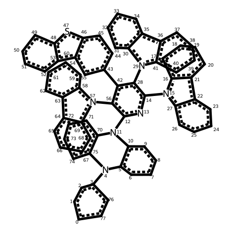 c1ccc(N2c3ccccc3N(c3nc(-n4c5ccccc5c5ccccc54)c(-n4c5ccccc5c5ccccc54)c(-c4ccc5sc6ccccc6c5c4)c3-n3c4ccccc4c4ccccc43)c3ccccc32)cc1